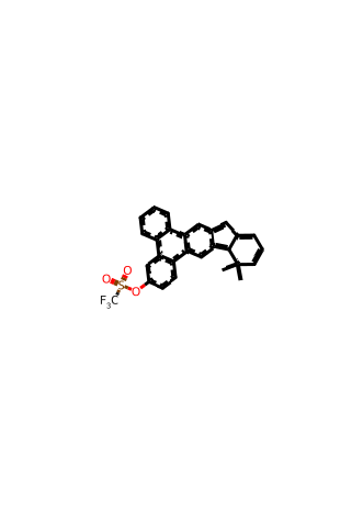 CC1(C)C=CC=C2C=c3cc4c5ccccc5c5cc(OS(=O)(=O)C(F)(F)F)ccc5c4cc3=C21